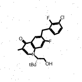 Cc1cn([C@H](CO)C(C)(C)C)c2cc(F)c(Cc3cccc(Cl)c3F)cc2c1=O